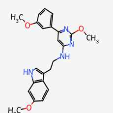 COc1cccc(-c2cc(NCCc3c[nH]c4cc(OC)ccc34)nc(OC)n2)c1